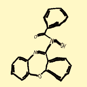 O=C(c1ccccc1)N(O)C1=Nc2ccccc2Oc2ccccc21